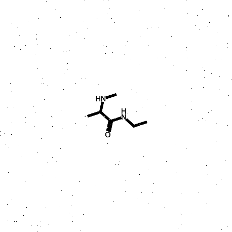 [CH2]C(NC)C(=O)NCC